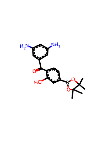 CC1(C)OB(c2ccc(C(=O)c3cc(N)cc(N)c3)c(O)c2)OC1(C)C